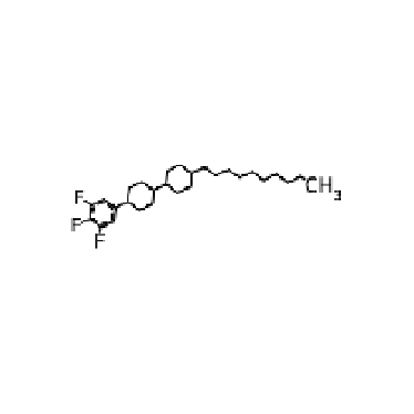 CCCCCCCCCCC1CCC(C2CCC(c3cc(F)c(F)c(F)c3)CC2)CC1